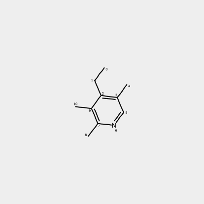 CCc1c(C)[c]nc(C)c1C